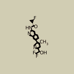 Cc1cc(C(O)C(F)F)ncc1-c1ccc2cc(NC(=O)[C@@H]3C[C@@H]3F)ncc2c1